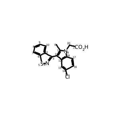 Cc1c(-c2nsc3ccccc23)c2cc(Cl)ccc2n1CC(=O)O